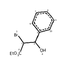 CCOC(=O)C(Br)C(O)c1ccccc1